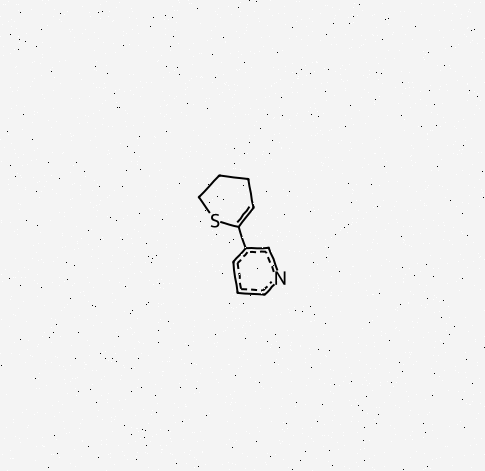 C1=C(c2cccnc2)SCCC1